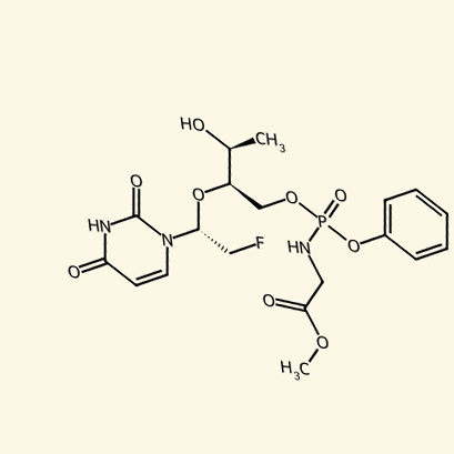 COC(=O)CNP(=O)(OC[C@@H](O[C@H](CF)n1ccc(=O)[nH]c1=O)[C@H](C)O)Oc1ccccc1